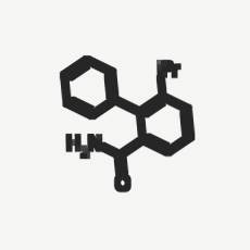 CC(C)c1cccc(C(N)=O)c1-c1ccccc1